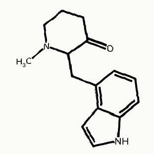 CN1CCCC(=O)C1Cc1cccc2[nH]ccc12